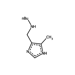 CCCCNCc1nc[nH]c1C